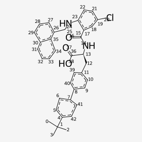 CC(C)(C)c1ccc(-c2ccc(C[C@H](NC(=O)c3cc(Cl)ccc3NCc3cccc4ccccc34)C(=O)O)cc2)cc1